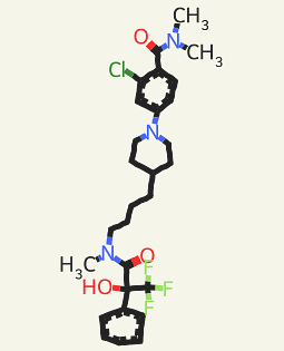 CN(C)C(=O)c1ccc(N2CCC(CCCCN(C)C(=O)C(O)(c3ccccc3)C(F)(F)F)CC2)cc1Cl